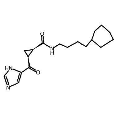 O=C(c1cnc[nH]1)[C@H]1C[C@H]1C(=O)NCCCCC1CCCCC1